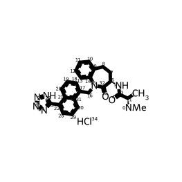 CN[C@@H](C)C(=O)N[C@H]1CCc2ccccc2N(Cc2cccc3c(-c4nnn[nH]4)cccc23)C1=O.Cl